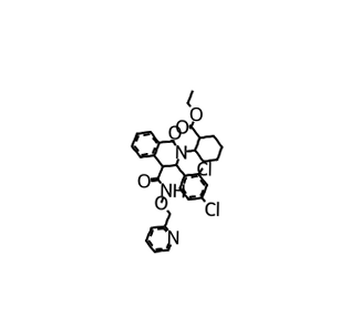 CCOC(=O)C1CCCCC1N1C(=O)c2ccccc2C(C(=O)NOCc2ccccn2)C1c1ccc(Cl)cc1Cl